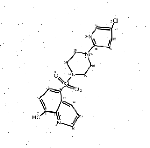 O=S(=O)(c1ccc(O)c2ncccc12)N1CCN(c2ccc(Cl)cn2)CC1